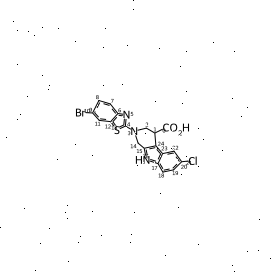 O=C(O)C1CN(c2nc3ccc(Br)cc3s2)Cc2[nH]c3ccc(Cl)cc3c21